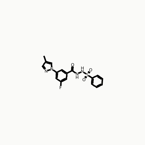 Cc1cnn(-c2cc(F)cc(C(=O)NNS(=O)(=O)c3ccccc3)c2)c1